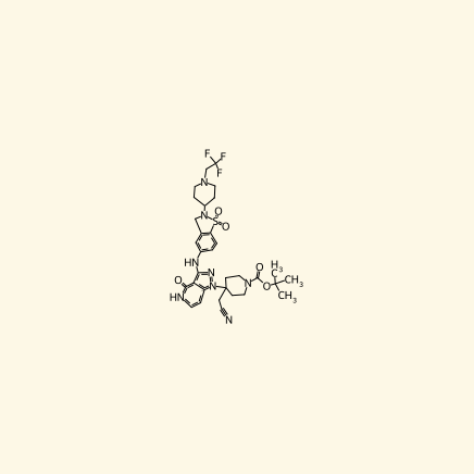 CC(C)(C)OC(=O)N1CCC(CC#N)(n2nc(Nc3ccc4c(c3)CN(C3CCN(CC(F)(F)F)CC3)S4(=O)=O)c3c(=O)[nH]ccc32)CC1